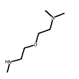 CNCCOCCN(C)C